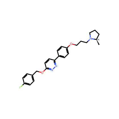 C[C@@H]1CCCN1CCCOc1ccc(-c2ccc(OCc3ccc(F)cc3)nn2)cc1